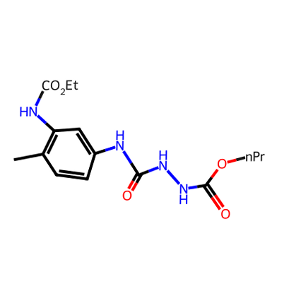 CCCOC(=O)NNC(=O)Nc1ccc(C)c(NC(=O)OCC)c1